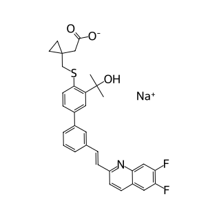 CC(C)(O)c1cc(-c2cccc(C=Cc3ccc4cc(F)c(F)cc4n3)c2)ccc1SCC1(CC(=O)[O-])CC1.[Na+]